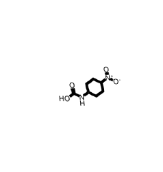 O=C(O)NC1CCC([N+](=O)[O-])CC1